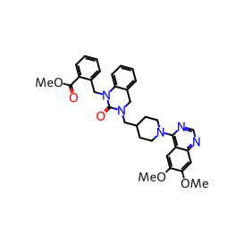 COC(=O)c1ccccc1CN1C(=O)N(CC2CCN(c3ncnc4cc(OC)c(OC)cc34)CC2)Cc2ccccc21